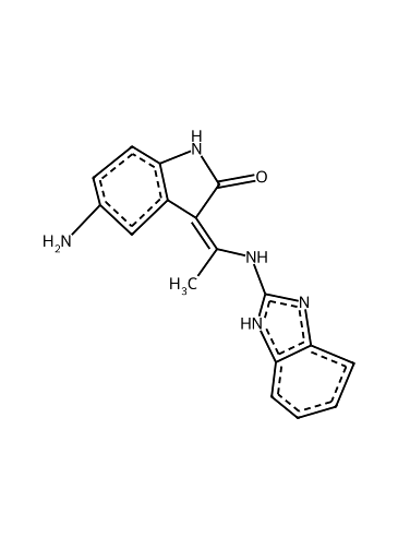 CC(Nc1nc2ccccc2[nH]1)=C1C(=O)Nc2ccc(N)cc21